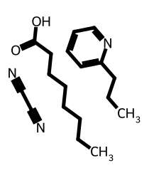 CCCCCCCC(=O)O.CCCc1ccccn1.N#CC#N